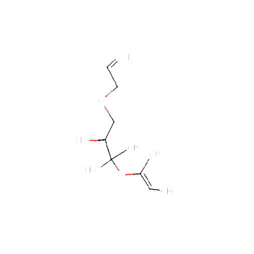 C=CCOCC(O)C(C)(C)O/C(C)=C/C